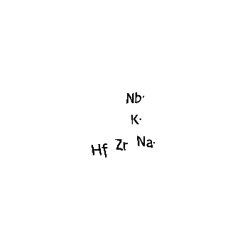 [Hf].[K].[Na].[Nb].[Zr]